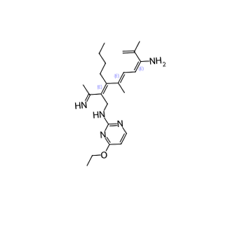 C=C(C)\C(N)=C/C=C(C)/C(CCCC)=C(\CNc1nccc(OCC)n1)C(C)=N